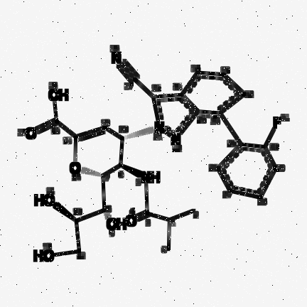 CC(C)C(=O)N[C@H]1[C@H]([C@H](O)[C@H](O)CO)OC(C(=O)O)=C[C@@H]1n1nc2c(-c3ccccc3F)cccc2c1C#N